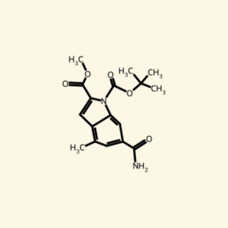 COC(=O)c1cc2c(C)cc(C(N)=O)cc2n1C(=O)OC(C)(C)C